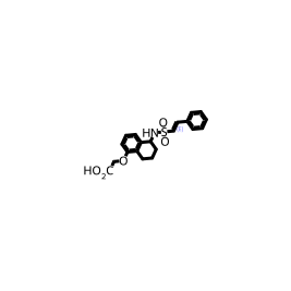 O=C(O)COc1cccc2c1CCCC2NS(=O)(=O)/C=C/c1ccccc1